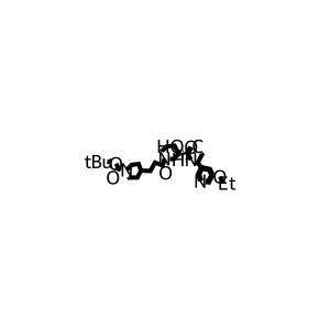 CCOc1cncc(C(CC(=O)O)NC(=O)[C@@H]2CCCN(C(=O)CCC3CCN(C(=O)OC(C)(C)C)CC3)C2)c1